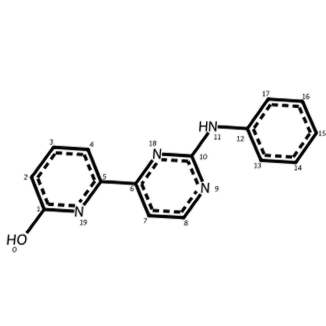 Oc1cccc(-c2ccnc(Nc3ccccc3)n2)n1